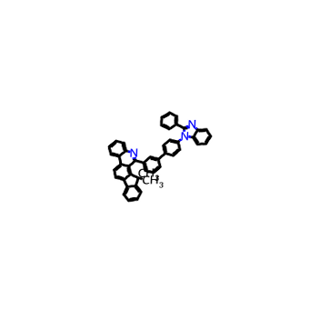 CC1(C)c2ccccc2-c2ccc3c(c(-c4cccc(-c5ccc(-n6c(-c7ccccc7)nc7ccccc76)cc5)c4)nc4ccccc43)c21